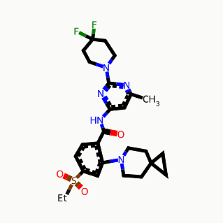 CCS(=O)(=O)c1ccc(C(=O)Nc2cc(C)nc(N3CCC(F)(F)CC3)n2)c(N2CCC3(CC2)CC3)c1